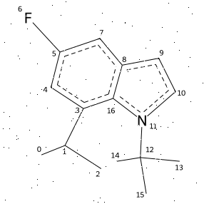 CC(C)c1cc(F)cc2ccn(C(C)(C)C)c12